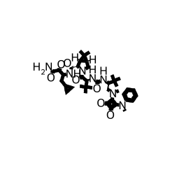 CN(C[C@@H](NC(=O)N[C@H](C(=O)N1C[C@H]2[C@@H]([C@H]1C(=O)NC(CC1CC1)C(=O)C(N)=O)C2(C)C)C(C)(C)C)C(C)(C)C)c1c(N(C)c2ccccc2)c(=O)c1=O